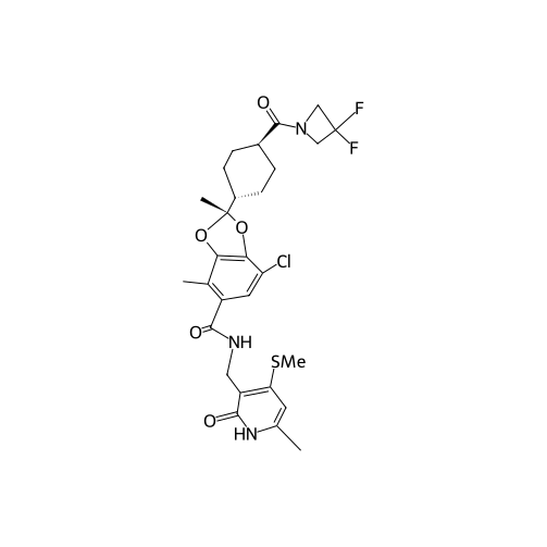 CSc1cc(C)[nH]c(=O)c1CNC(=O)c1cc(Cl)c2c(c1C)O[C@](C)([C@H]1CC[C@H](C(=O)N3CC(F)(F)C3)CC1)O2